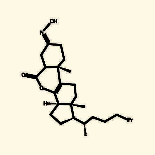 CC(C)CCC[C@H](C)[C@H]1CC[C@H]2C3=C(CC[C@]12C)[C@@]1(C)CCC(=NO)CC1C(=O)O3